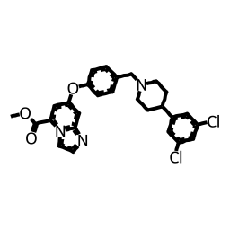 COC(=O)c1cc(Oc2ccc(CN3CCC(c4cc(Cl)cc(Cl)c4)CC3)cc2)cc2nccn12